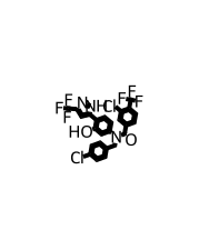 O=C(c1ccc(C(F)(F)F)c(Cl)c1)N(Cc1ccc(Cl)cc1)c1ccc(-c2cc(C(F)(F)F)n[nH]2)c(O)c1